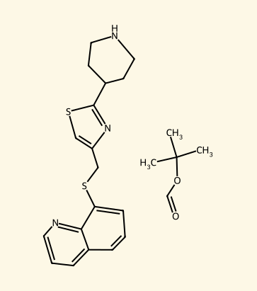 CC(C)(C)OC=O.c1cnc2c(SCc3csc(C4CCNCC4)n3)cccc2c1